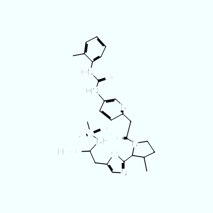 Cc1ccccc1NC(=O)Nc1ccc(CC(=O)N2CCC(C)C2c2ncc(CC(NS(C)(=O)=O)C(=O)O)o2)nc1